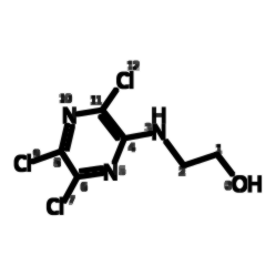 OCCNc1nc(Cl)c(Cl)nc1Cl